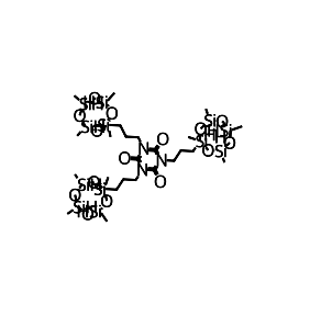 C[SiH]1O[SiH](C)O[Si](C)(CCCn2c(=O)n(CCC[Si]3(C)O[SiH](C)O[SiH](C)O[SiH](C)O3)c(=O)n(CCC[Si]3(C)O[SiH](C)O[SiH](C)O[SiH](C)O3)c2=O)O[SiH](C)O1